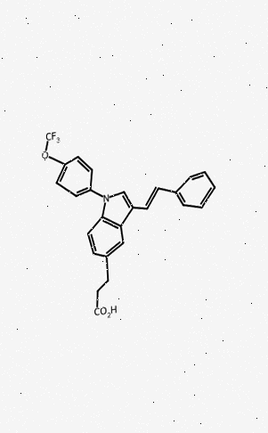 O=C(O)CCc1ccc2c(c1)c(C=Cc1ccccc1)cn2-c1ccc(OC(F)(F)F)cc1